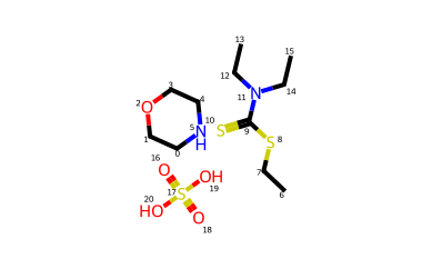 C1COCCN1.CCSC(=S)N(CC)CC.O=S(=O)(O)O